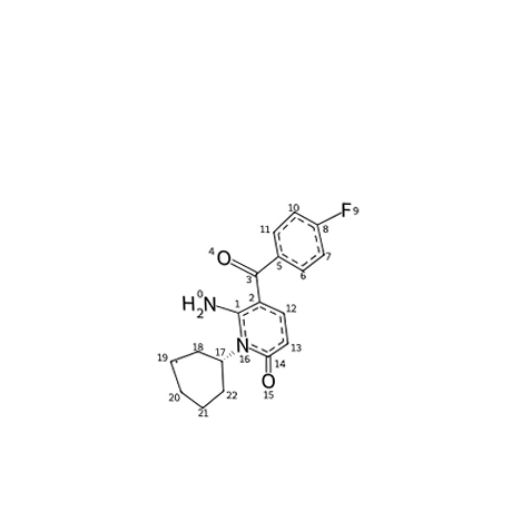 Nc1c(C(=O)c2ccc(F)cc2)ccc(=O)n1[C@H]1C[CH]CCC1